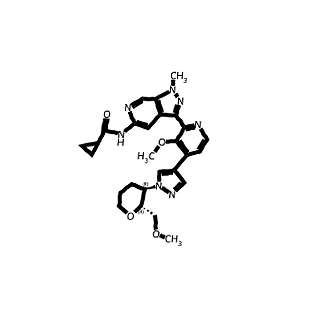 COC[C@@H]1OCCC[C@H]1n1cc(-c2ccnc(-c3nn(C)c4cnc(NC(=O)C5CC5)cc34)c2OC)cn1